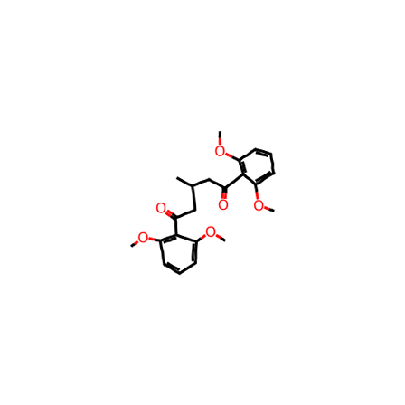 COc1cccc(OC)c1C(=O)CC(C)CC(=O)c1c(OC)cccc1OC